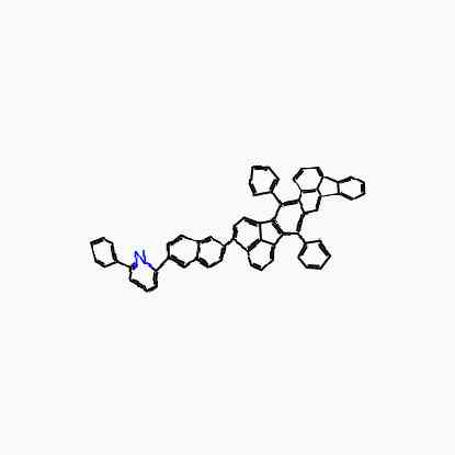 c1ccc(-c2cccc(-c3ccc4cc(-c5ccc6c7c(-c8ccccc8)c8c(cc9c%10ccccc%10c%10cccc8c%109)c(-c8ccccc8)c7c7cccc5c76)ccc4c3)n2)cc1